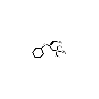 CC=C(OC1CCCCC1)O[Si](C)(C)C